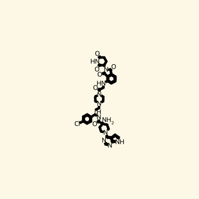 NC1(C(=O)N[C@@H](CCN2CCN(C(=O)CNc3cccc4c3C(=O)N(C3CCC(=O)NC3=O)C4=O)CC2)c2ccc(Cl)cc2)CCN(c2ncnc3[nH]ccc23)CC1